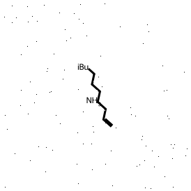 C=CCCCCCC(C)CC.N